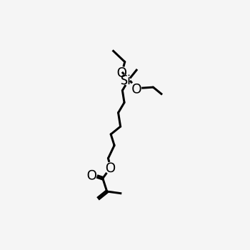 C=C(C)C(=O)OCCCCCCC[Si](C)(OCC)OCC